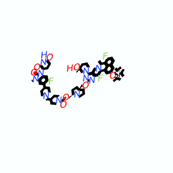 CCc1c(F)ccc2cc(O[Si](C(C)C)(C(C)C)C(C)C)cc(-c3ncc4c(N5CCC[C@@](C)(O)C5)nc(OC[C@@]56CCCN5[C@H](COC(=O)N5CCC(CN7CCC(c8cc9c(cc8F)n(C8CCC(=O)NC8=O)c(=O)n9C)CC7)CC5)CC6)nc4c3F)c12